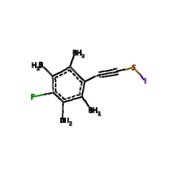 Bc1c(B)c(C#CSI)c(B)c(B)c1F